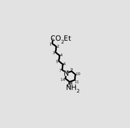 CCOC(=O)CCCCCCCN1CCC[C@@H](N)C1